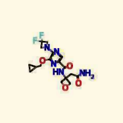 NC(=O)CC1(NC(=O)c2cnc(N3CC(F)(F)C3)c(OCC3CC3)n2)COC1